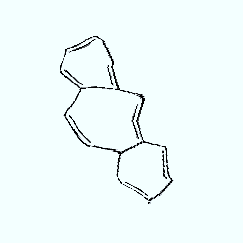 [C]1=CC2C=Cc3ccccc3C=C2C=C1